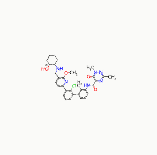 COc1nc(-c2cccc(-c3cccc(NC(=O)c4nc(C)nn(C)c4=O)c3C)c2Cl)ccc1CNC1CCCC[C@@H]1O